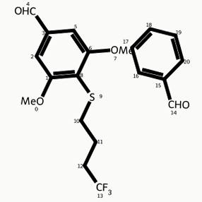 COc1cc(C=O)cc(OC)c1SCCCC(F)(F)F.O=Cc1ccccc1